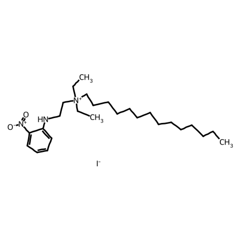 CCCCCCCCCCCCCC[N+](CC)(CC)CCNc1ccccc1[N+](=O)[O-].[I-]